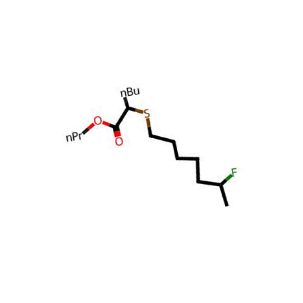 CCCCC(SCCCCCC(C)F)C(=O)OCCC